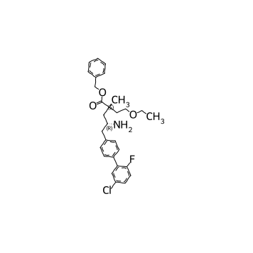 CCOCC[C@](C)(C[C@H](N)Cc1ccc(-c2cc(Cl)ccc2F)cc1)C(=O)OCc1ccccc1